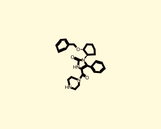 O=C(c1[nH]c(=O)n([C@@H]2CCCC[C@H]2OCc2ccccc2)c1-c1ccccc1)N1CCNCC1